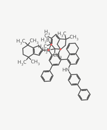 BCN(C1=CC2=C(C1)C(C)(C)CCC2(C)C)c1cc(-c2ccccc2)cc(-c2c(Nc3ccc(-c4ccccc4)cc3)ccc3c2C=CCC3)c1CC/C1=C\C(C)=C(\C)C(C)(C)CCC1(C)C